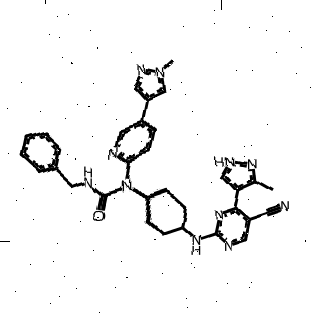 Cc1n[nH]cc1-c1nc(NC2CCC(N(C(=O)NCc3ccccc3)c3ccc(-c4cnn(C)c4)cn3)CC2)ncc1C#N